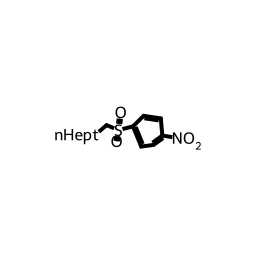 CCCCCCCCS(=O)(=O)c1ccc([N+](=O)[O-])cc1